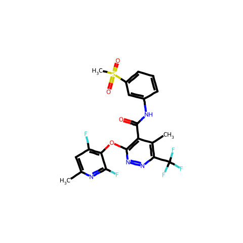 Cc1cc(F)c(Oc2nnc(C(F)(F)F)c(C)c2C(=O)Nc2cccc(S(C)(=O)=O)c2)c(F)n1